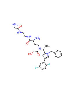 CC(C)(C)[C@H](c1cc(-c2cc(F)ccc2F)cn1Cc1ccccc1)N(CCC(N)C(=O)NCCNC(=O)CN)C(=O)CO